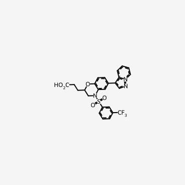 O=C(O)CCC1CN(S(=O)(=O)c2cccc(C(F)(F)F)c2)c2cc(-c3cnn4ccccc34)ccc2O1